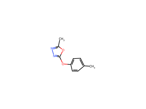 Cc1ccc(Oc2nnc(C)o2)cc1